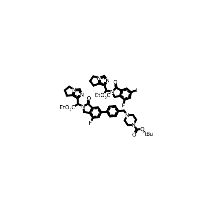 CCOC(=O)C(c1ncn2c1CCC2)N1Cc2c(F)cc(-c3ccc(CN4CCN(C(=O)OC(C)(C)C)CC4)cc3)cc2C1=O.CCOC(=O)C(c1ncn2c1CCC2)N1Cc2c(F)cc(I)cc2C1=O